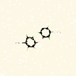 COc1c(F)cc(F)c(Bc2c(F)c(F)c(OC)c(F)c2F)c1F